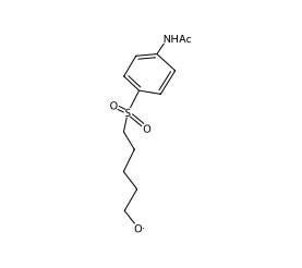 CC(=O)Nc1ccc(S(=O)(=O)CCCCC[O])cc1